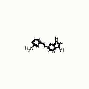 Nc1cccc(CCc2ccc3c(Cl)c[nH]c3c2)n1